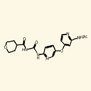 CC(=O)Nc1cc(Oc2ccc(NC(=O)NC(=O)C3CCOCC3)nc2)ccn1